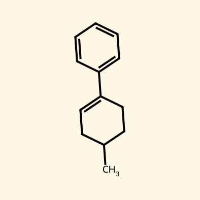 CC1CC=C(c2ccccc2)CC1